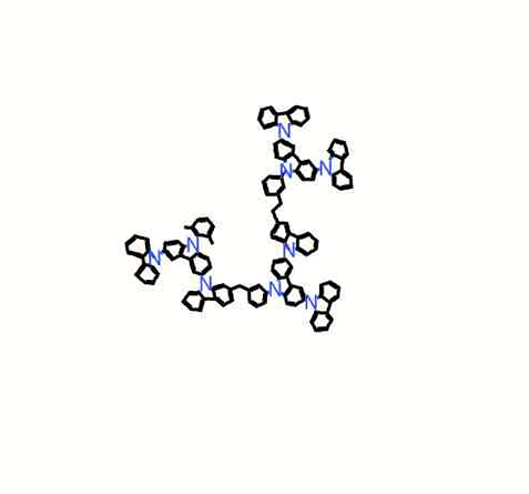 Cc1cccc(C)c1-n1c2ccc(-n3c4ccccc4c4ccccc43)cc2c2cc(-n3c4ccccc4c4ccc(Cc5cccc(-n6c7ccc(-n8c9ccccc9c9ccccc98)cc7c7cc(-n8c9ccccc9c9cc(CCc%10cccc(-n%11c%12ccc(-n%13c%14ccccc%14c%14ccccc%14%13)cc%12c%12cc(-n%13c%14ccccc%14c%14ccccc%14%13)ccc%12%11)c%10)ccc98)ccc76)c5)cc43)ccc21